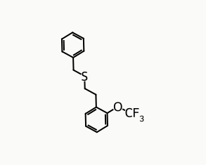 FC(F)(F)Oc1ccccc1CCSCc1ccccc1